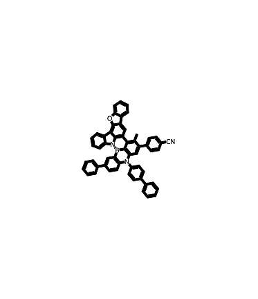 Cc1c(-c2ccc(C#N)cc2)cc2c3c1-c1cc4c5ccccc5oc4c4c5ccccc5n(c14)B3c1cc(-c3ccccc3)ccc1N2c1ccc(-c2ccccc2)cc1